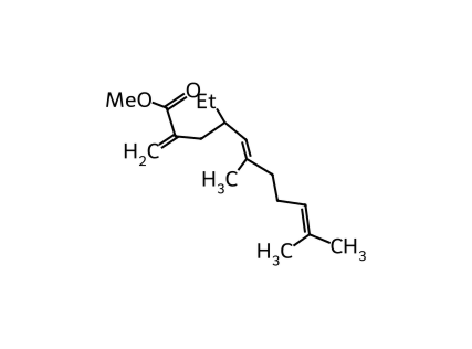 C=C(CC(/C=C(\C)CCC=C(C)C)CC)C(=O)OC